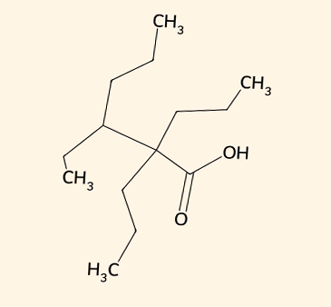 CCCC(CC)C(CCC)(CCC)C(=O)O